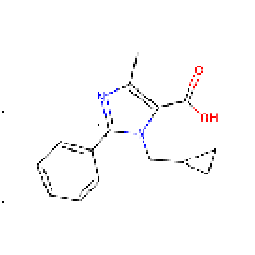 Cc1nc(-c2ccccc2)n(CC2CC2)c1C(=O)O